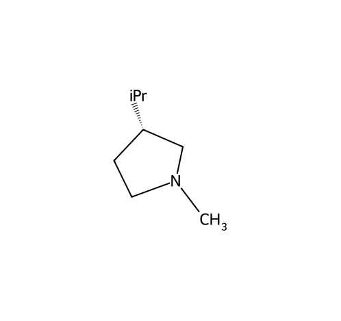 CC(C)[C@H]1CCN(C)C1